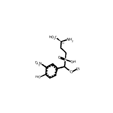 CCOC(c1ccc(O)c([N+](=O)[O-])c1)P(=O)(O)CC[C@H](N)C(=O)O